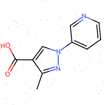 Cc1nn(-c2cccnc2)cc1C(=O)O